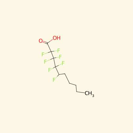 CCCCCC(F)C(F)(F)C(F)(F)C(F)(F)C(=O)O